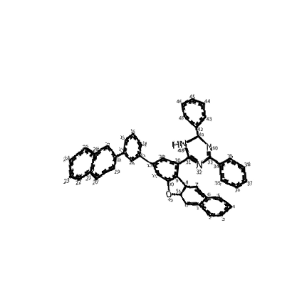 C1=c2ccccc2=CC2c3c(cc(-c4cccc(-c5ccc6ccccc6c5)c4)cc3C3=NC(c4ccccc4)=NC(c4ccccc4)N3)OC12